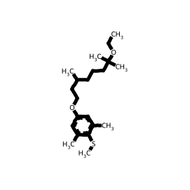 CCOC(C)(C)CCCC(C)CCOc1cc(C)c(SC)c(C)c1